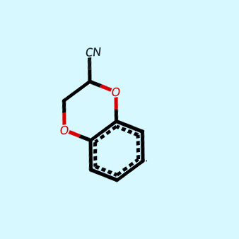 N#CC1COc2cc[c]cc2O1